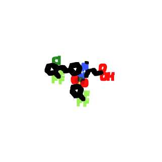 CN1c2ccc(/C=C/c3c(Cl)cccc3C(F)(F)F)cc2N(S(=O)(=O)c2cccc(C(F)(F)F)c2)C[C@@H]1CCC(=O)O